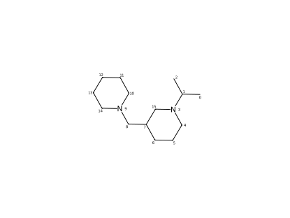 CC(C)N1CCCC(CN2CCCCC2)C1